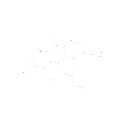 CCOC(=O)Cn1c2cc(C3CC3)ccc2c(=O)c2ccc(Cl)c(N(C)C)c21